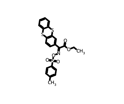 CCOC(=O)/C(=N/OS(=O)(=O)c1ccc(C)cc1)c1ccc2c(c1)Sc1ccccc1S2